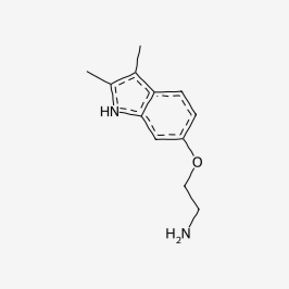 Cc1[nH]c2cc(OCCN)ccc2c1C